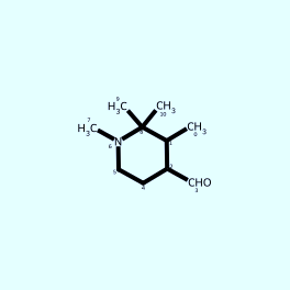 CC1C(C=O)CCN(C)C1(C)C